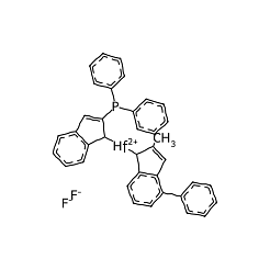 CC1=Cc2c(-c3ccccc3)cccc2[CH]1[Hf+2][CH]1C(P(c2ccccc2)c2ccccc2)=Cc2ccccc21.[F-].[F-]